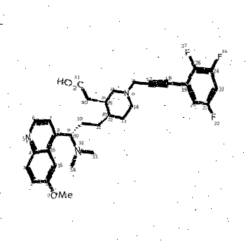 COc1ccc2nccc([C@H](CC[C@@H]3CCN(CC#Cc4cc(F)cc(F)c4F)C[C@@H]3CC(=O)O)N(C)C)c2c1